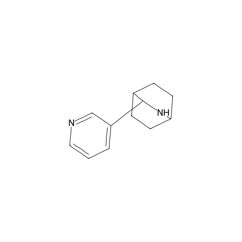 c1cncc(C2NC3CCC2CC3)c1